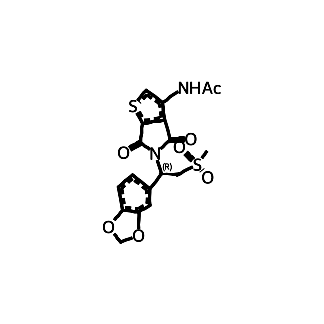 CC(=O)Nc1csc2c1C(=O)N([C@@H](CS(C)(=O)=O)c1ccc3c(c1)OCO3)C2=O